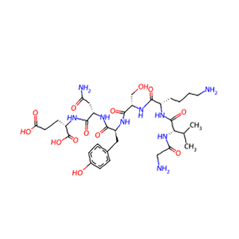 CC(C)[C@H](NC(=O)CN)C(=O)N[C@@H](CCCCN)C(=O)N[C@@H](CO)C(=O)N[C@@H](Cc1ccc(O)cc1)C(=O)N[C@@H](CC(N)=O)C(=O)N[C@@H](CCC(=O)O)C(=O)O